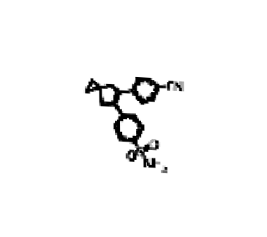 N#Cc1ccc(C2=C(c3ccc(S(N)(=O)=O)cc3)CC3(CC3)C2)cc1